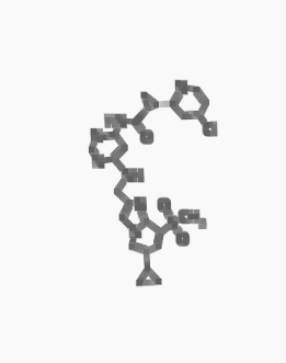 CS(=O)(=O)c1cc(C2CC2)cn2cc(CNc3cc(NC(=O)[C@H]4C[C@@H]4c4cc(Cl)ccn4)ncn3)nc12